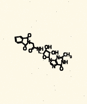 Cc1nc2c(ncn2[C@@H]2O[C@H](CNC(=O)CN3C(=O)c4ccccc4C3=O)C(O)[C@@H]2O)c(=O)[nH]1